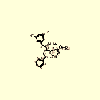 CC(=O)N[C@@H](Cc1cc(F)cc(F)c1)[C@@H](OCc1ccccc1)[C@@H](CO)NC(=O)OC(C)(C)C